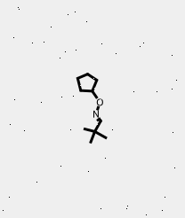 CC(C)(C)C=NOC1CCCC1